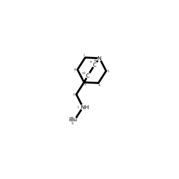 CCC(C)NCC12CCN(CC1)CC2